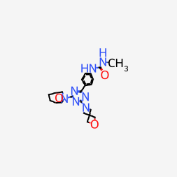 CNC(=O)Nc1ccc(-c2nc(N3CC4CCC(C3)O4)nc(N3CC4(COC4)C3)n2)cc1